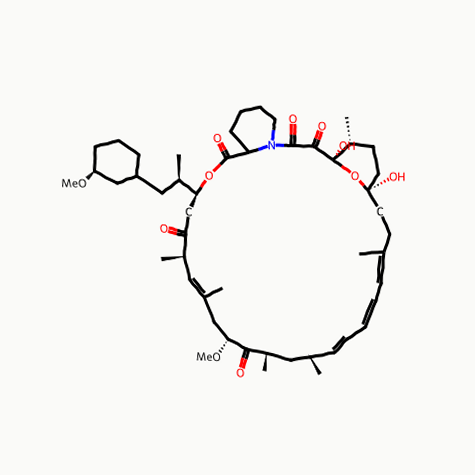 CO[C@H]1CCCC(C[C@@H](C)[C@@H]2CC(=O)[C@H](C)/C=C(\C)C[C@@H](OC)C(=O)[C@H](C)C[C@H](C)/C=C/C=C/C=C(\C)CC[C@]3(O)CC[C@@H](C)[C@@](O)(O3)C(=O)C(=O)N3CCCCC3C(=O)O2)C1